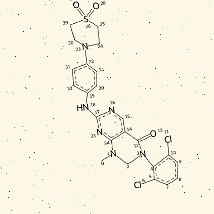 CN1CN(c2c(Cl)cccc2Cl)C(=O)c2cnc(Nc3ccc(N4CCS(=O)(=O)CC4)cc3)nc21